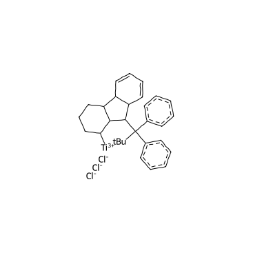 CC(C)(C)C(c1ccccc1)(c1ccccc1)C1C2C=CC=CC2C2CCC[CH]([Ti+3])C21.[Cl-].[Cl-].[Cl-]